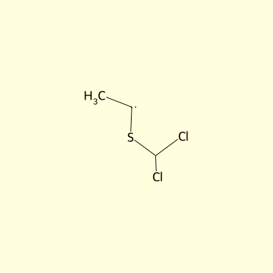 C[CH]SC(Cl)Cl